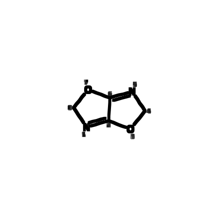 C1N=C2OCN=C2O1